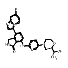 C[C@H](O)[C@H]1CN(c2ccc(Nc3ccc(-c4cnc5cc(F)ccn45)c4c3C(=O)NC4)nc2)CCO1